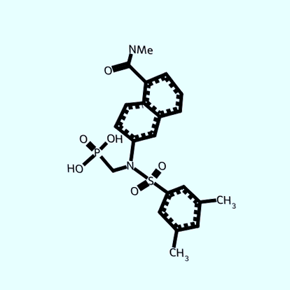 CNC(=O)c1cccc2cc(N(CP(=O)(O)O)S(=O)(=O)c3cc(C)cc(C)c3)ccc12